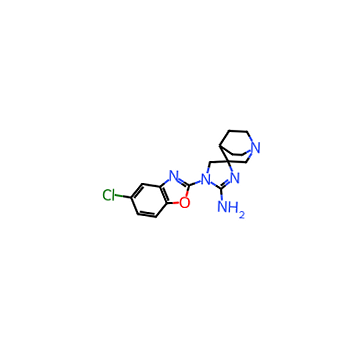 NC1=NC2(CN3CCC2CC3)CN1c1nc2cc(Cl)ccc2o1